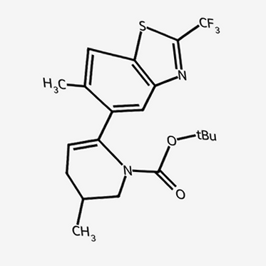 Cc1cc2sc(C(F)(F)F)nc2cc1C1=CCC(C)CN1C(=O)OC(C)(C)C